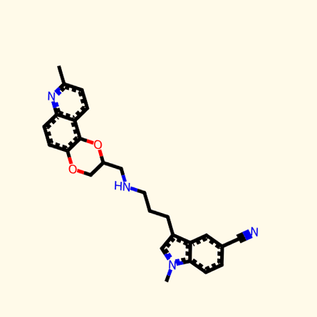 Cc1ccc2c3c(ccc2n1)OCC(CNCCCc1cn(C)c2ccc(C#N)cc12)O3